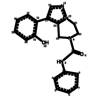 O=C(Nc1ccccc1)N1CCn2ncc(-c3ccccc3O)c2C1